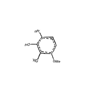 CCCc1ccc(OC)c(O)c1O